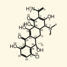 C=C(N)C1=C(O)C(N(C)C)C2CC3C(=C(O)[C@]2(O)C1=O)C(=O)c1c(O)ccc(Cl)c1[C@]3(C)O